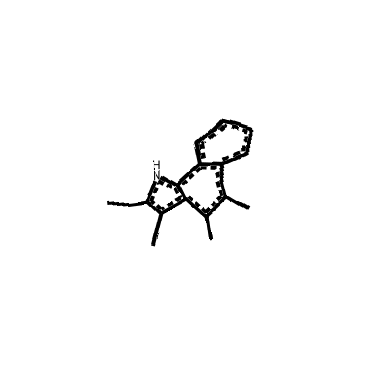 Cc1[nH]c2c(c1C)c(C)c(C)c1ccccc12